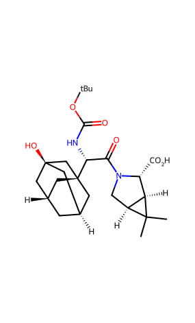 CC(C)(C)OC(=O)N[C@H](C(=O)N1C[C@H]2[C@@H]([C@H]1C(=O)O)C2(C)C)[C@@]12C[C@@H]3C[C@@H](C[C@](O)(C3)C1)C2